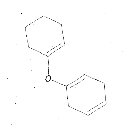 C1=CCC(OC2=CCCCC2)=CC1